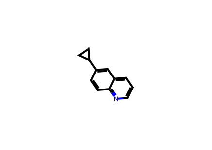 c1cnc2ccc(C3CC3)cc2c1